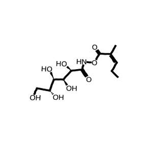 CCC=C(C)C(=O)ONC(=O)[C@H](O)[C@@H](O)[C@H](O)[C@H](O)CO